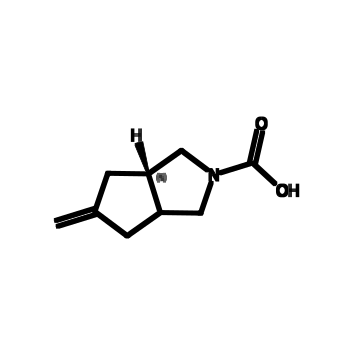 C=C1CC2CN(C(=O)O)C[C@H]2C1